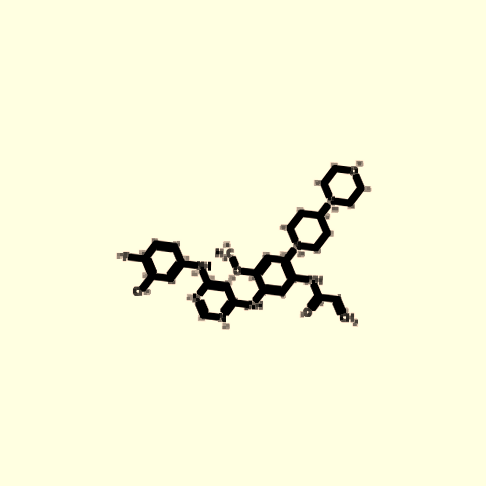 C=CC(=O)Nc1cc(Nc2cc(Nc3ccc(F)c(Cl)c3)ncn2)c(OC)cc1N1CCC(N2CCOCC2)CC1